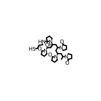 CC(CC(CC(CC(CCN1CCCC1=O)N1CCCC1(O)NCCCS)N1CCCC1=O)N1CCCC1=O)N1CCCC1=O